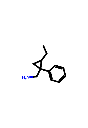 CCC1CC1(CN)c1ccccc1